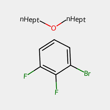 CCCCCCCOCCCCCCC.Fc1cccc(Br)c1F